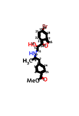 COC(=O)c1ccc(CC(C)NCC(O)c2occ3cc(Br)ccc23)cc1